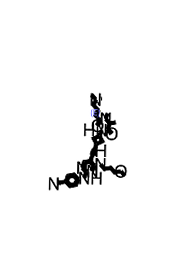 COCCCNc1nc(Nc2ccc(C#N)cc2)ncc1C#CC1CC(NC(=O)C(C)N(C)C(=O)/C=C/CN(C)C)C1